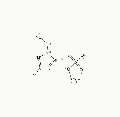 C=S(=O)(O)OS(=O)(=O)O.Cc1cc(C)n(CC#N)n1